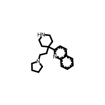 [c]1cc(C2(CCN3CCCC3)CCNCC2)nc2ccccc12